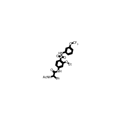 CCOc1cc(NC(=O)C(NC(C)=O)C(C)C)ccc1S(=O)(=O)Nc1cccc(OC(F)(F)F)c1